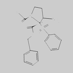 CC(C)C(=O)N1CCC(N)[C@]1(C(=O)OCc1ccccc1)S(=O)(=O)c1ccccc1